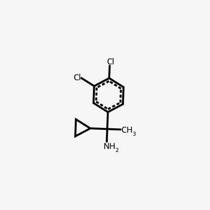 CC(N)(c1ccc(Cl)c(Cl)c1)C1CC1